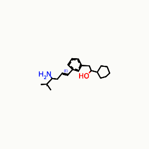 C[C](C)C(N)C/C=C/c1cccc(CC(O)C2CCCCC2)c1